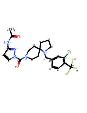 CC(=O)Nc1ccn(C(=O)N2CCC3(CCCN3Cc3ccc(C(F)(F)F)c(Cl)c3)CC2)n1